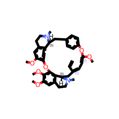 C=C/C1=C\C=C(\OC)Oc2ccc(cc2)C[C@H]2c3cc(c(OC)cc3CCN2C)Oc2c(OC)c(OC)cc3c2[C@H](C1)N(C)CC3